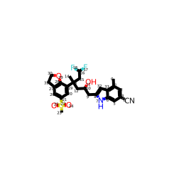 Cc1cc(C#N)cc2[nH]c(CC(O)CC(C)(CC(F)F)c3cc(S(C)(=O)=O)cc4c3OCC4)cc12